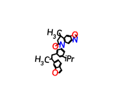 CC(C)c1cc(CC(C)c2ccc3ccoc3c2)c2oc(CC(C)c3ccc4ncoc4c3)nc2c1